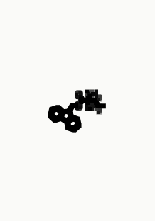 CCCC(N)(N)C(=O)OCC1c2ccccc2-c2ccccc21